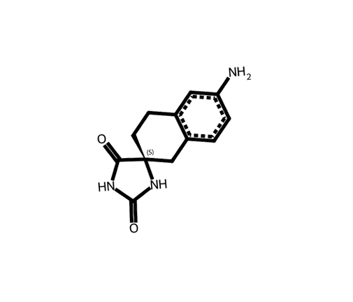 Nc1ccc2c(c1)CC[C@@]1(C2)NC(=O)NC1=O